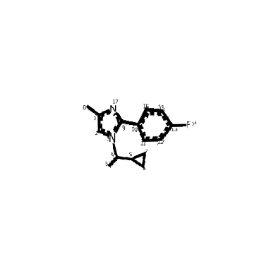 Cc1cn(C(C)C2CC2)c(-c2ccc(F)cc2)n1